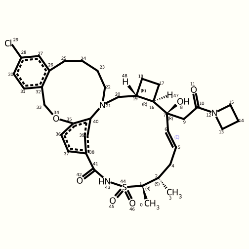 C[C@@H]1[C@@H](C)C/C=C/[C@@](O)(CC(=O)N2CCC2)[C@@H]2CC[C@H]2CN2CCCCc3cc(Cl)ccc3COc3ccc(cc32)C(=O)NS1(=O)=O